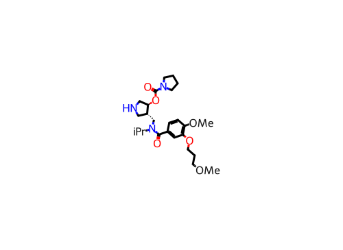 COCCCOc1cc(C(=O)N(C[C@@H]2CNC[C@H]2OC(=O)N2CCCC2)C(C)C)ccc1OC